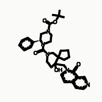 CC(C)(C)OC(=O)N1CCN(C(=O)N2CCC(O)(Cn3ccc4ccncc4c3=O)C3(CCCC3)C2)[C@H](c2ccccc2)C1